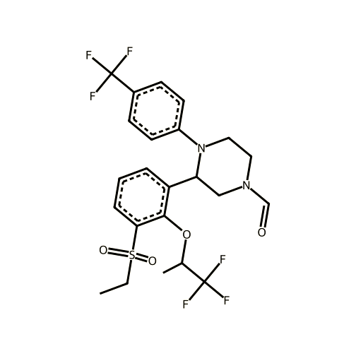 CCS(=O)(=O)c1cccc(C2CN(C=O)CCN2c2ccc(C(F)(F)F)cc2)c1OC(C)C(F)(F)F